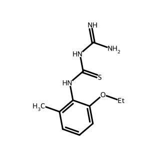 CCOc1cccc(C)c1NC(=S)NC(=N)N